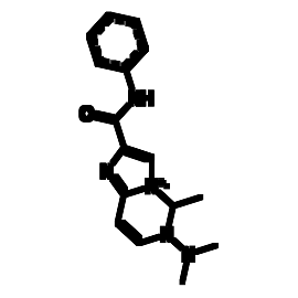 CC1N(N(C)C)C=CC2=NC(C(=O)Nc3ccccc3)=C[N+]21